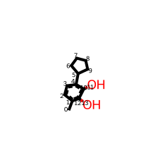 Cc1ccc(C2CCCC2)c(O)c1O